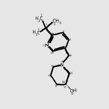 CC(C)(C)c1ccc(CN2CCC[C@@H](O)C2)cn1